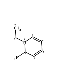 CCN1C=CC=CC1F